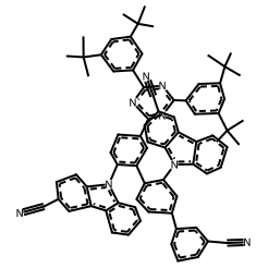 CC(C)(C)c1cc(-c2nc(-c3cc(C(C)(C)C)cc(C(C)(C)C)c3)nc(-c3ccc(-n4c5ccccc5c5cc(C#N)ccc54)c(-c4ccc(-c5cccc(C#N)c5)cc4-n4c5ccccc5c5cc(C#N)ccc54)c3)n2)cc(C(C)(C)C)c1